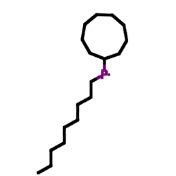 CCCCCCCCC[P]C1CCCCCCCC1